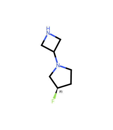 F[C@@H]1CCN(C2CNC2)C1